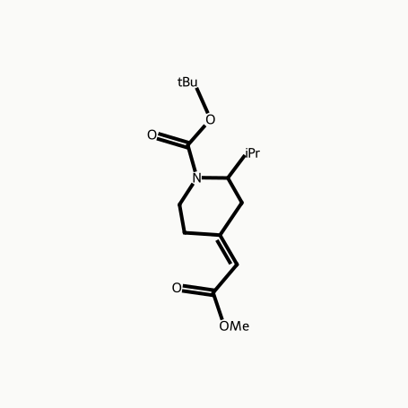 COC(=O)C=C1CCN(C(=O)OC(C)(C)C)C(C(C)C)C1